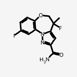 CC1(F)COc2ccc(I)cc2-n2nc(C(N)=O)cc21